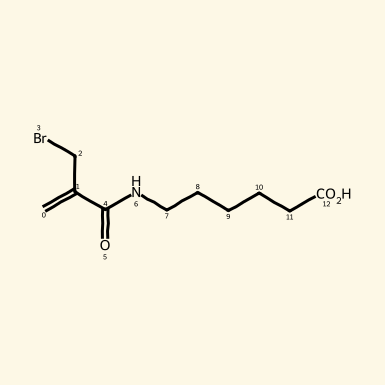 C=C(CBr)C(=O)NCCCCCC(=O)O